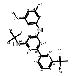 CSc1cc(F)cc(Nc2cc(NC(C)(C)C)nc(-c3cccc(C(C)(F)F)n3)n2)c1